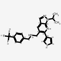 CC(C)n1ncc2cc(CNCc3ccc(C(F)(F)F)cc3)c(-c3ccsc3)nc21